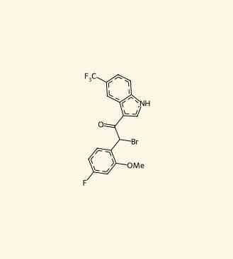 COc1cc(F)ccc1C(Br)C(=O)c1c[nH]c2ccc(C(F)(F)F)cc12